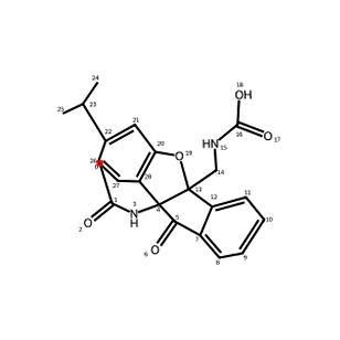 CC(=O)NC12C(=O)c3ccccc3C1(CNC(=O)O)Oc1cc(C(C)C)ccc12